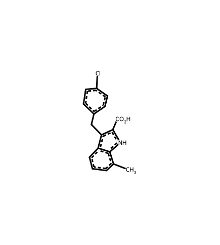 Cc1cccc2c(Cc3ccc(Cl)cc3)c(C(=O)O)[nH]c12